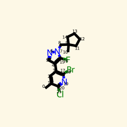 Cc1cc(-c2cnn(CC3(C)CCCC3)c2F)c(Br)nc1Cl